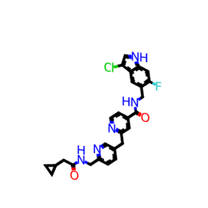 O=C(CC1CC1)NCc1ccc(Cc2cc(C(=O)NCc3cc4c(Cl)c[nH]c4cc3F)ccn2)cn1